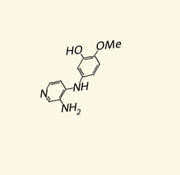 COc1ccc(Nc2ccncc2N)cc1O